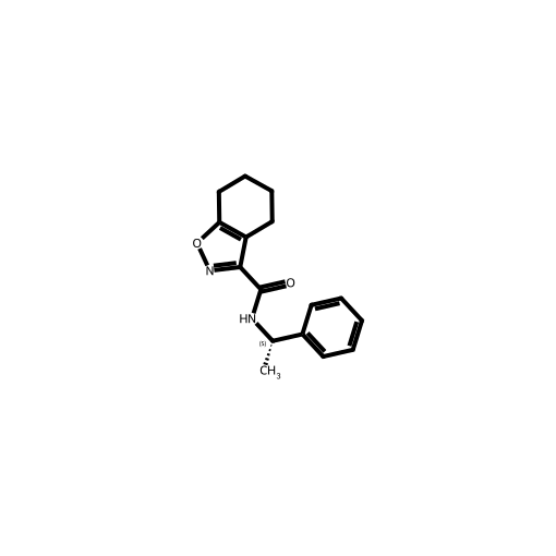 C[C@H](NC(=O)c1noc2c1CCCC2)c1ccccc1